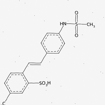 Cc1ccc(C=Cc2ccc(NS(C)(=O)=O)cc2)c(S(=O)(=O)O)c1